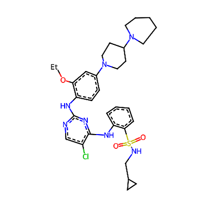 CCOc1cc(N2CCC(N3CCCCC3)CC2)ccc1Nc1ncc(Cl)c(Nc2ccccc2S(=O)(=O)NCC2CC2)n1